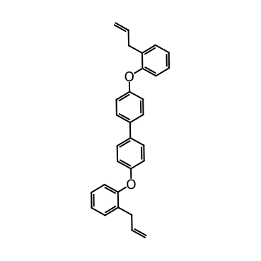 C=CCc1ccccc1Oc1ccc(-c2ccc(Oc3ccccc3CC=C)cc2)cc1